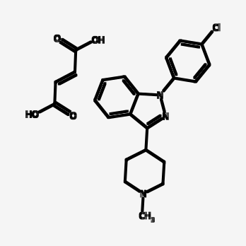 CN1CCC(c2nn(-c3ccc(Cl)cc3)c3ccccc23)CC1.O=C(O)/C=C/C(=O)O